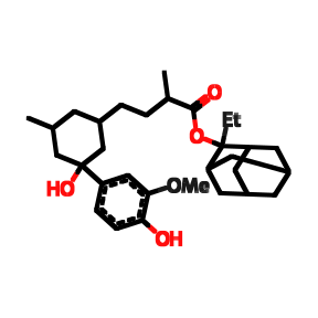 CCC1(OC(=O)C(C)CCC2CC(C)CC(O)(c3ccc(O)c(OC)c3)C2)C2CC3CC(C2)CC1C3